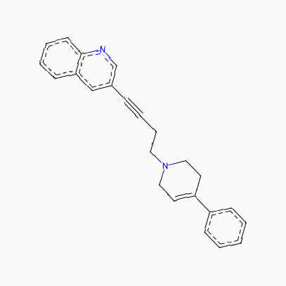 C(#Cc1cnc2ccccc2c1)CCN1CC=C(c2ccccc2)CC1